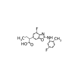 CCC(C(=O)O)c1cc(F)c2nc(Nc3cc(F)ccc3C)oc2c1